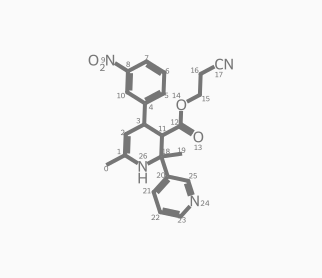 CC1=CC(c2cccc([N+](=O)[O-])c2)C(C(=O)OCCC#N)C(C)(c2cccnc2)N1